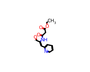 CCOC(=O)CC(=O)NC([C]=O)=Cc1ccccn1